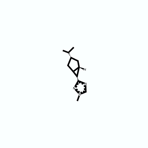 CC(C)[C@H]1CC2[C@@H](c3ncn(C)n3)[C@H]2C1